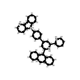 c1ccc(-c2cc(-c3ccc(-n4c5ccccc5c5ncccc54)cc3)cc(-c3c4ccccc4cc4ccccc34)n2)nc1